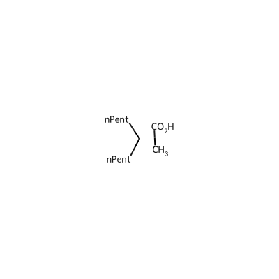 CC(=O)O.CCCCCCCCCCC